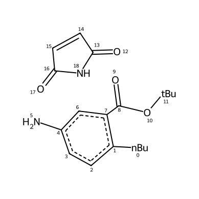 CCCCc1ccc(N)cc1C(=O)OC(C)(C)C.O=C1C=CC(=O)N1